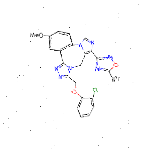 COc1ccc2c(c1)-c1nnc(COc3ccccc3Cl)n1Cc1c(-c3noc(C(C)C)n3)ncn1-2